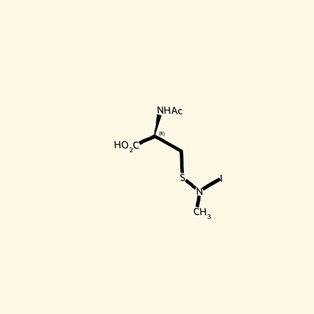 CC(=O)N[C@@H](CSN(C)I)C(=O)O